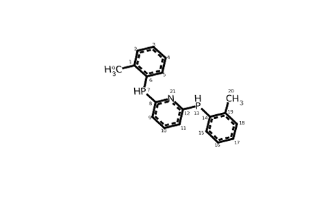 Cc1ccccc1Pc1cccc(Pc2ccccc2C)n1